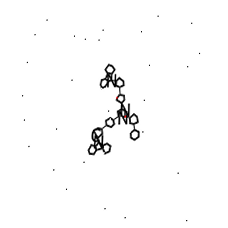 c1ccc(-c2cccc(-c3nc(-c4ccc(-c5cccc(-n6c7ccccc7c7ccccc76)c5)cc4)cc(-c4ccc(-c5cccc(-n6c7ccccc7c7ccccc76)c5)cc4)n3)c2)cc1